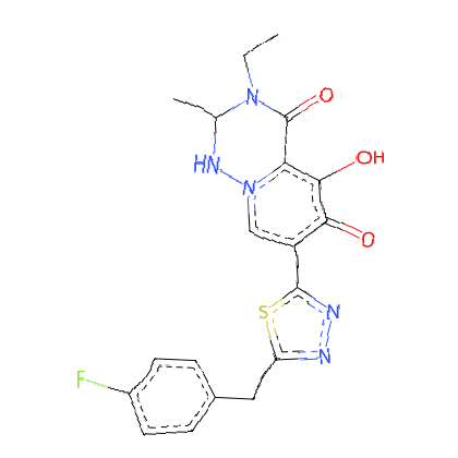 CCN1C(=O)c2c(O)c(=O)c(-c3nnc(Cc4ccc(F)cc4)s3)cn2NC1C